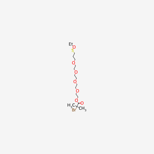 CCOSCCCOCCOCCOCCOCCOC(=O)C(C)(C)Br